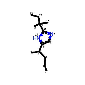 CCCC(C)c1cnc(C(C)(C)CC)[nH]1